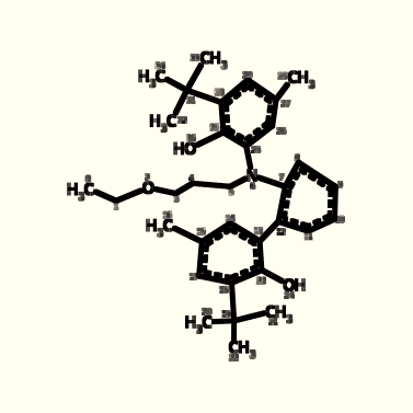 CCOCCCN(c1ccccc1-c1cc(C)cc(C(C)(C)C)c1O)c1cc(C)cc(C(C)(C)C)c1O